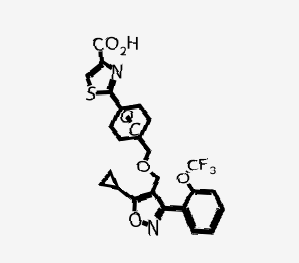 O=C(O)c1csc(C23CCC(COCc4c(-c5ccccc5OC(F)(F)F)noc4C4CC4)(CC2)CO3)n1